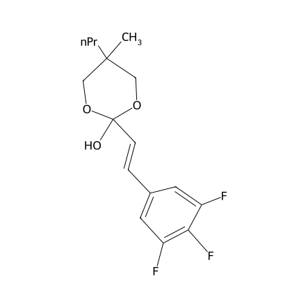 CCCC1(C)COC(O)(/C=C/c2cc(F)c(F)c(F)c2)OC1